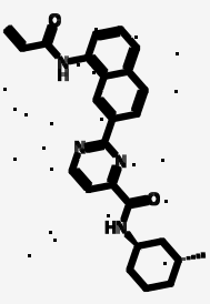 C=CC(=O)Nc1cccc2ccc(-c3nccc(C(=O)N[C@@H]4CCC[C@@H](C)C4)n3)cc12